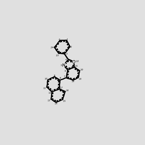 c1ccc(-c2nc3c(-c4cccc5ccccc45)cccc3o2)cc1